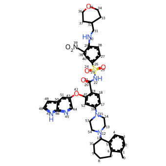 Cc1cccc2c1CCCCC2N1CCN(c2ccc(C(=O)NS(=O)(=O)c3ccc(NCC4CCOCC4)c([N+](=O)[O-])c3)c(Oc3cnc4[nH]ccc4c3)c2)CC1